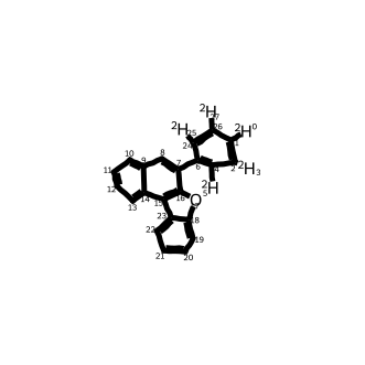 [2H]c1c([2H])c([2H])c(-c2cc3ccccc3c3c2oc2ccccc23)c([2H])c1[2H]